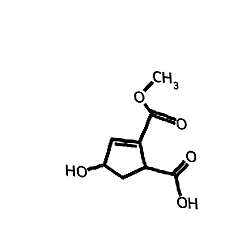 COC(=O)C1=CC(O)CC1C(=O)O